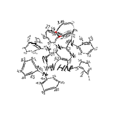 c1ccc(Nc2nc(N(c3ccccc3)c3ccccc3)nc3c(N(c4ccccc4)c4ccccc4)nc(N(c4ccccc4)c4ccccc4)nc23)cc1